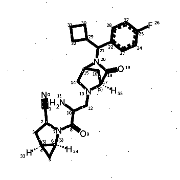 N#CC1C[C@@H]2C[C@@H]2N1C(=O)C(N)CN1CC2C[C@H]1C(=O)N2C(c1ccc(F)cc1)C1CCC1